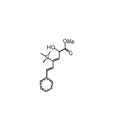 COC(=O)C(O)C=C(C=Cc1ccccc1)[Si](C)(C)C